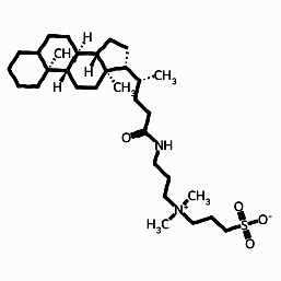 C[C@H](CCC(=O)NCCC[N+](C)(C)CCCS(=O)(=O)[O-])[C@H]1CC[C@H]2[C@@H]3CCC4CCCC[C@]4(C)[C@H]3CC[C@]12C